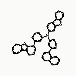 c1cc(-c2cccc3ccccc23)cc(N(c2cccc(-c3cccc4c3sc3ccccc34)c2)c2ccc3c(c2)sc2ccccc23)c1